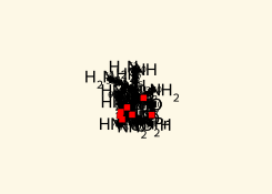 CC(C)C[C@H](NC(=O)[C@@H](C)NC(=O)[C@@H](C)CC(C)C)C(=O)N[C@H](CC(=O)O)C(=O)N[C@@H](Cc1ccccc1)C(=O)N[C@H](CCCCN)C(=O)N[C@@H](CCCNC(=N)N)C(=O)N[C@H](CCCCN)C(=O)N[C@@H](C)C(=O)N[C@H](CCCNC(=N)N)C(N)=O